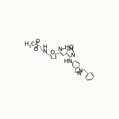 CS(=O)(=O)CCNCc1ccc(-c2cc3c(Nc4ccc5c(cnn5Cc5ccccc5)c4)ncnc3cn2)o1.Cl